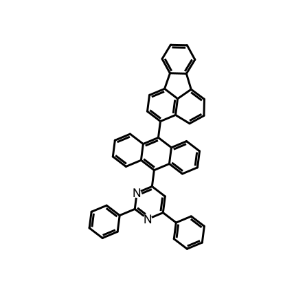 c1ccc(-c2cc(-c3c4ccccc4c(-c4ccc5c6c(cccc46)-c4ccccc4-5)c4ccccc34)nc(-c3ccccc3)n2)cc1